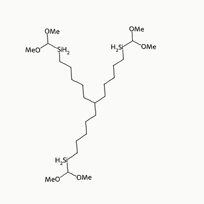 COC(OC)[SiH2]CCCCCC(CCCCC[SiH2]C(OC)OC)CCCCC[SiH2]C(OC)OC